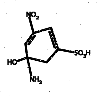 NC1(O)C=C([N+](=O)[O-])C=C(S(=O)(=O)O)C1